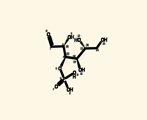 O=C[C@H](O)[C@H](OP(=O)(O)O)[C@H](O)[C@H](O)CO